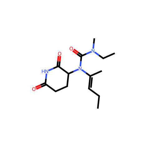 CCC=C(C)N(C(=O)N(C)CC)C1CCC(=O)NC1=O